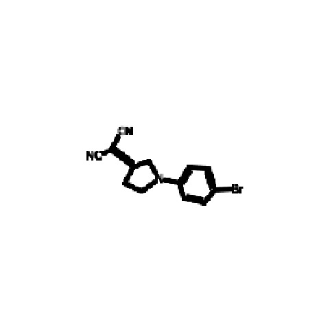 N#CC(C#N)=C1CCN(c2ccc(Br)cc2)C1